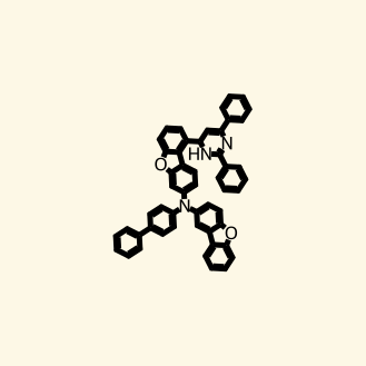 C1=C(c2ccccc2)N=C(c2ccccc2)NC1c1cccc2oc3cc(N(c4ccc(-c5ccccc5)cc4)c4ccc5oc6ccccc6c5c4)ccc3c12